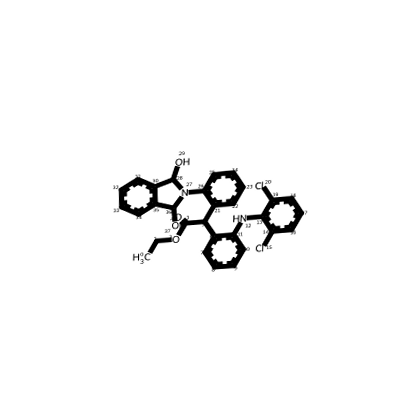 CCOC(=O)C(c1ccccc1Nc1c(Cl)cccc1Cl)c1ccccc1N1C(O)c2ccccc2C1O